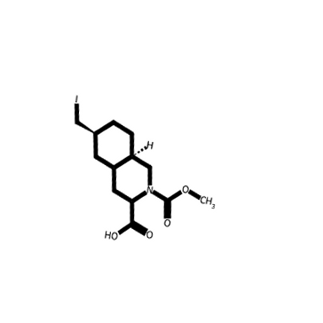 COC(=O)N1C[C@@H]2CC[C@H](CI)CC2CC1C(=O)O